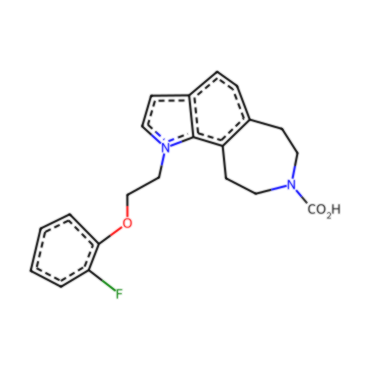 O=C(O)N1CCc2ccc3ccn(CCOc4ccccc4F)c3c2CC1